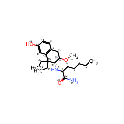 CCCCCC(N[C@H]1[C@H](OC)Cc2ccc(O)cc2C1(CC)CC)C(N)=O